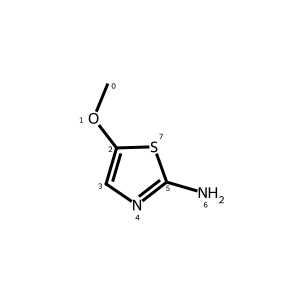 COc1cnc(N)s1